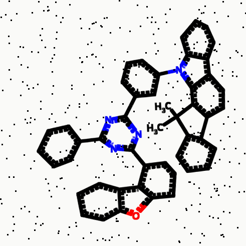 CC1(C)c2ccccc2-c2ccc3c4ccccc4n(-c4cccc(-c5nc(-c6ccccc6)nc(-c6cccc7oc8ccccc8c67)n5)c4)c3c21